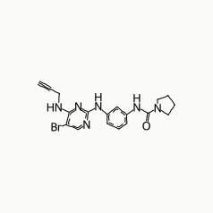 C#CCNc1nc(Nc2cccc(NC(=O)N3CCCC3)c2)ncc1Br